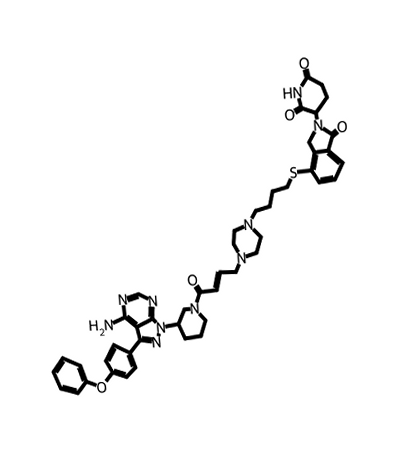 Nc1ncnc2c1c(-c1ccc(Oc3ccccc3)cc1)nn2C1CCCN(C(=O)/C=C/CN2CCN(CCCCSc3cccc4c3CN(C3CCC(=O)NC3=O)C4=O)CC2)C1